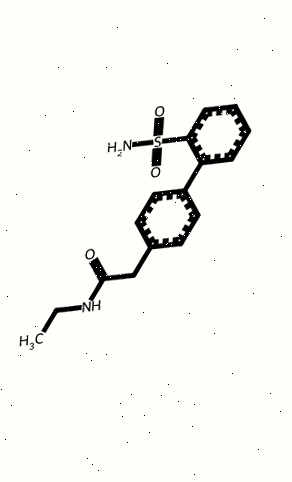 CCNC(=O)Cc1ccc(-c2ccccc2S(N)(=O)=O)cc1